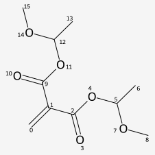 C=C(C(=O)OC(C)OC)C(=O)OC(C)OC